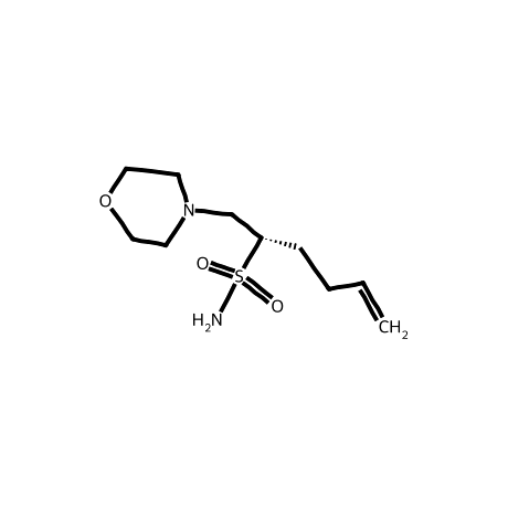 C=CCC[C@@H](CN1CCOCC1)S(N)(=O)=O